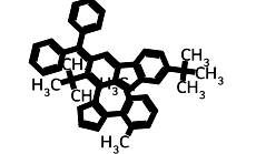 Cc1cccc(C)c1C1=C(c2c(C(C)(C)C)c(=C(c3ccccc3)c3ccccc3)cc3c2=[C]c2cc(C(C)(C)C)ccc2-3)CC=C1